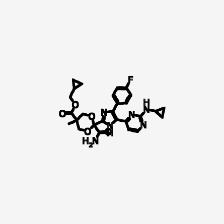 CC1(C(=O)OCC2CC2)COC(C(N)=O)(c2nc(-c3ccc(F)cc3)c(-c3ccnc(NC4CC4)n3)[nH]2)OC1